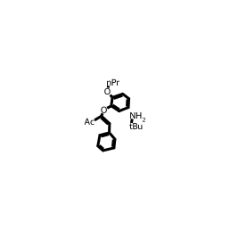 CC(C)(C)N.CCCOc1ccccc1OC(=Cc1ccccc1)C(C)=O